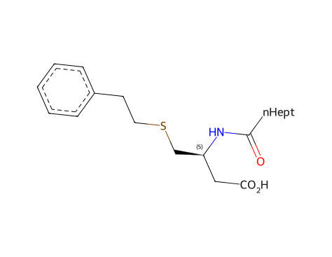 CCCCCCCC(=O)N[C@H](CSCCc1ccccc1)CC(=O)O